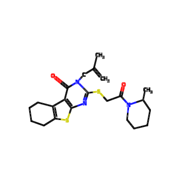 C=C(C)Cn1c(SCC(=O)N2CCCCC2C)nc2sc3c(c2c1=O)CCCC3